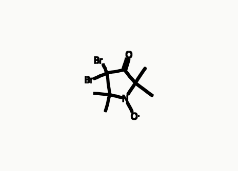 CC1(C)C(=O)C(Br)(Br)C(C)(C)N1[O]